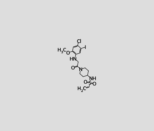 C=CS(=O)(=O)NC1CCN(C(=O)CNc2cc(I)c(Cl)cc2OC)CC1